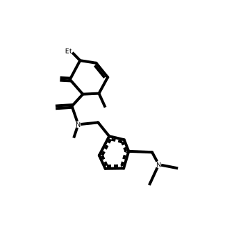 C=C1C(CC)C=CC(C)C1C(=C)N(C)Cc1cccc(CN(C)C)c1